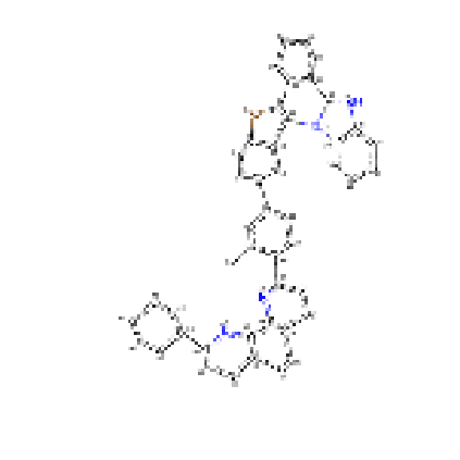 Cc1cc(-c2ccc3sc4c(c3c2)N2c3ccccc3NC2c2ccccc2-4)ccc1-c1ccc2ccc3ccc(-c4ccccc4)nc3c2n1